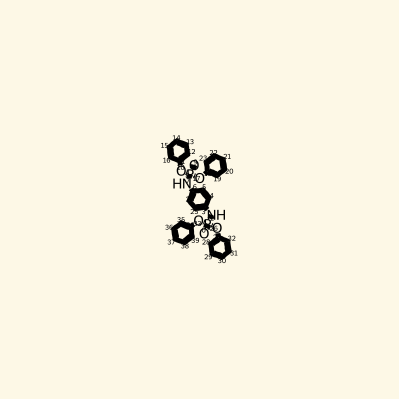 O=P(Nc1ccc(NP(=O)(Oc2ccccc2)Oc2ccccc2)cc1)(Oc1ccccc1)Oc1ccccc1